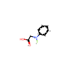 O=C(O)CN(F)c1ccccc1